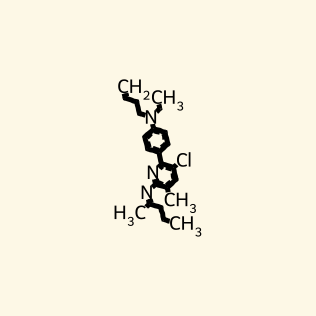 C=CCCN(CC)c1ccc(-c2nc(/N=C(/C)CCC)c(C)cc2Cl)cc1